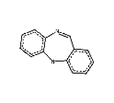 C1=Nc2ccccc2[N]c2ccccc21